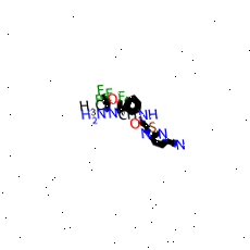 C[C@@]1(c2cc(NC(=O)c3nc4ccc(C#N)nc4s3)ccc2F)CO[C@@](C)(C(F)(F)F)C(N)=N1